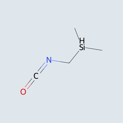 C[SiH](C)CN=C=O